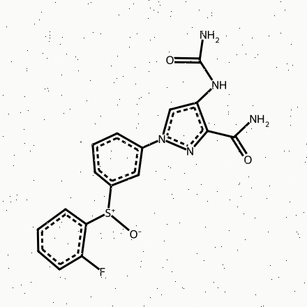 NC(=O)Nc1cn(-c2cccc([S+]([O-])c3ccccc3F)c2)nc1C(N)=O